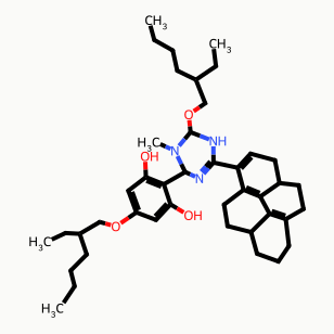 CCCCC(CC)COc1cc(O)c(C2N=C(C3=CCC4CCC5=C6C4=C3CCC6CCC5)NC(OCC(CC)CCCC)N2C)c(O)c1